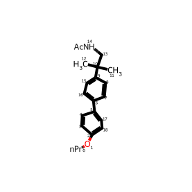 CCCOc1ccc(-c2ccc(C(C)(C)CNC(C)=O)cc2)cc1